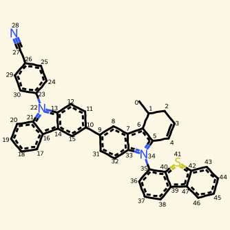 CC1CC=Cc2c1c1cc(-c3ccc4c(c3)c3ccccc3n4-c3ccc(C#N)cc3)ccc1n2-c1cccc2c1sc1ccccc12